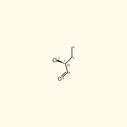 CC[C@H](Cl)[C]=O